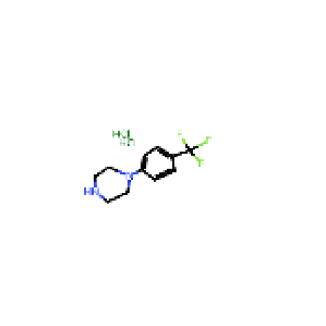 Cl.Cl.FC(F)(F)c1ccc(N2CCNCC2)cc1